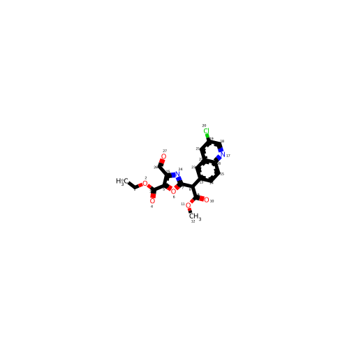 CCOC(=O)c1oc(C(C(=O)OC)c2ccc3ncc(Cl)cc3c2)nc1C=O